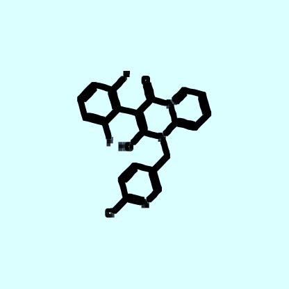 O=c1c(-c2c(F)cccc2F)c(O)n(Cc2ccc(Cl)nc2)c2cccc[n+]12